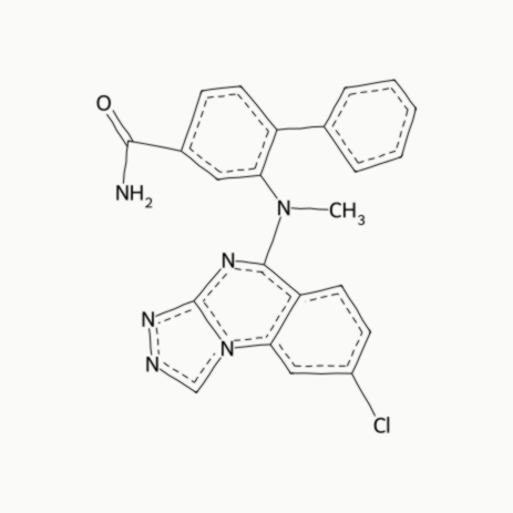 CN(c1cc(C(N)=O)ccc1-c1ccccc1)c1nc2nncn2c2cc(Cl)ccc12